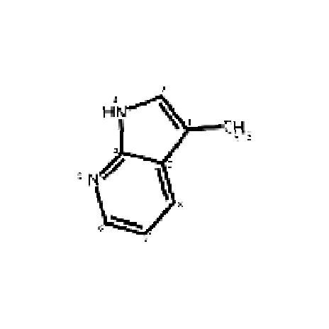 Cc1c[nH]c2nc[c]cc12